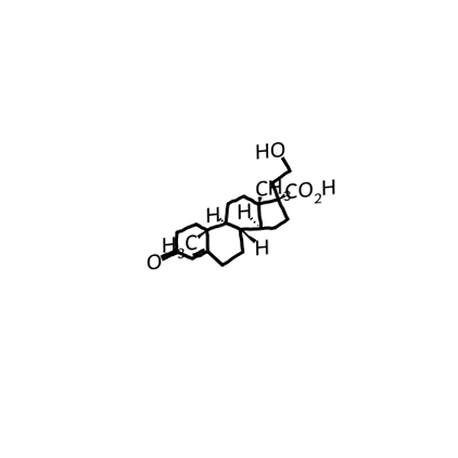 C[C@]12CCC(=O)C=C1CC[C@@H]1[C@@H]2CC[C@@]2(C)[C@H]1CC[C@]2(CCO)C(=O)O